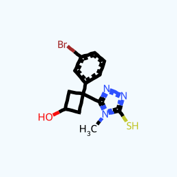 Cn1c(S)nnc1C1(c2cccc(Br)c2)CC(O)C1